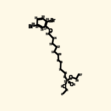 CCOP(=O)(CCCCCCCCCCCOc1cc(Br)ccc1Br)OCC